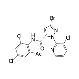 CC(=O)c1cc(Cl)cc(Cl)c1NC(=O)c1cc(Br)nn1-c1ncccc1Cl